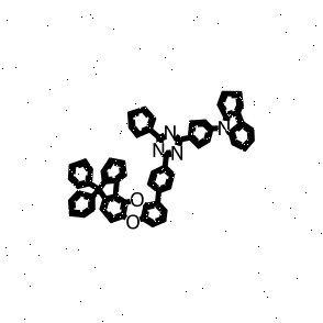 c1ccc(-c2nc(-c3ccc(-c4cccc5c4Oc4c(ccc6c4-c4ccccc4C6(c4ccccc4)c4ccccc4)O5)cc3)nc(-c3ccc(-n4c5ccccc5c5ccccc54)cc3)n2)cc1